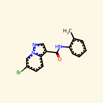 Cc1ccccc1NC(=O)c1cnn2cc(Br)ccc12